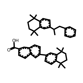 CC(Cc1ccccc1)c1ccc2c(c1)C(C)(C)CCC2(C)C.CC1(C)CCC(C)(C)c2cc(-c3ccc4cc(C(=O)O)ccc4c3)ccc21